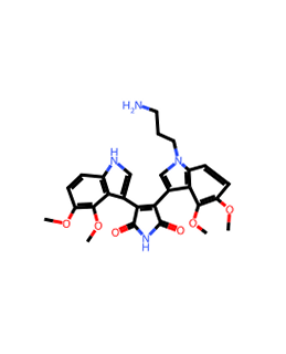 COc1ccc2[nH]cc(C3=C(c4cn(CCCN)c5ccc(OC)c(OC)c45)C(=O)NC3=O)c2c1OC